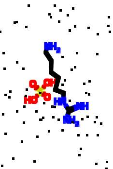 N=C(N)NCCCCCCN.O=S(=O)(O)O